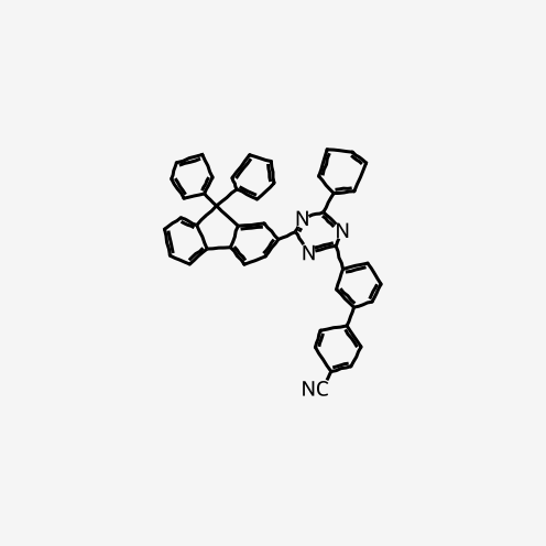 N#Cc1ccc(-c2cccc(-c3nc(-c4ccccc4)nc(-c4ccc5c(c4)C(c4ccccc4)(c4ccccc4)c4ccccc4-5)n3)c2)cc1